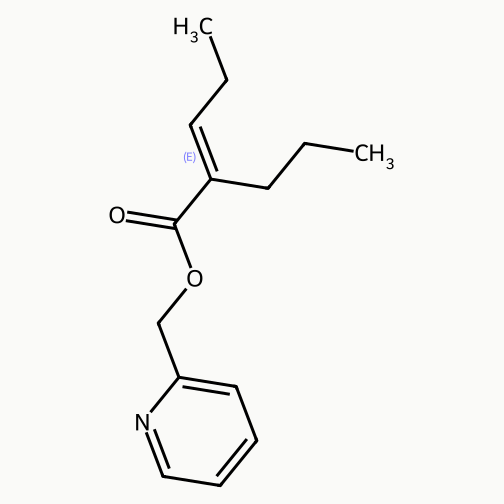 CC/C=C(\CCC)C(=O)OCc1ccccn1